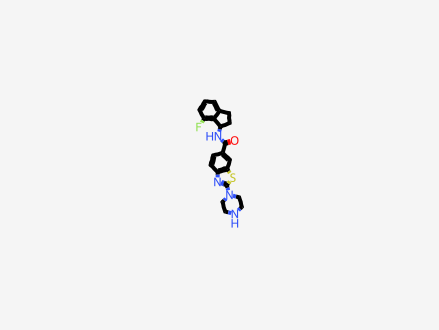 O=C(NC1CCc2cccc(F)c21)c1ccc2nc(N3CCNCC3)sc2c1